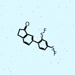 O=C1CCc2ccc(-c3ccc(SF)cc3SF)cc21